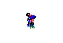 Cc1cc2cc(C(C(C)C)N(CCCN)C(=O)c3ccc(C(F)(F)F)cc3)n(Cc3ccccc3)c(=O)n2n1